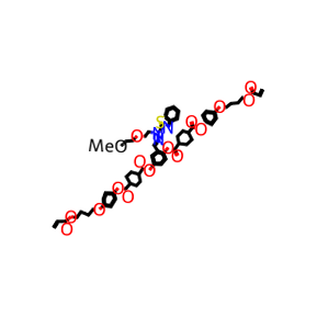 C=CC(=O)OCCCCOc1ccc(OC(=O)C2CCC(C(=O)Oc3ccc(OC(=O)C4CCC(C(=O)Oc5ccc(OCCCCOC(=O)C=C)cc5)CC4)c(/C=N/N(CCOCCOC)c4nc5ccccc5s4)c3)CC2)cc1